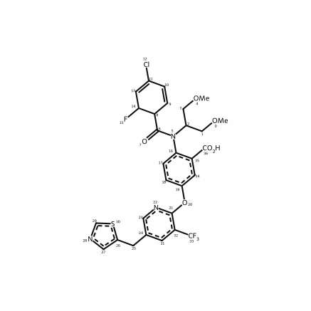 COCC(COC)N(C(=O)C1C=CC(Cl)=CC1F)c1ccc(Oc2ncc(Cc3cncs3)cc2C(F)(F)F)cc1C(=O)O